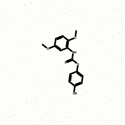 COc1ccc(OC)c(NC(=S)Oc2ccc(O)cc2)c1